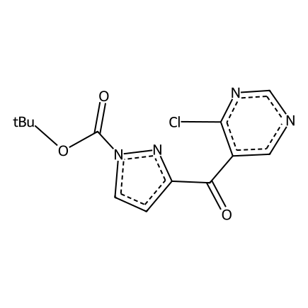 CC(C)(C)OC(=O)n1ccc(C(=O)c2cncnc2Cl)n1